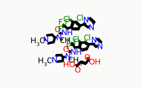 CN1CCC(N(C)C(=O)N[C@@H](c2ccc(-c3cnccn3)c(Cl)c2Cl)C(F)(F)F)CC1.CN1CCC(N(C)C(=O)N[C@@H](c2ccc(-c3cnccn3)c(Cl)c2Cl)C(F)(F)F)CC1.O=C(O)/C=C/C(=O)O